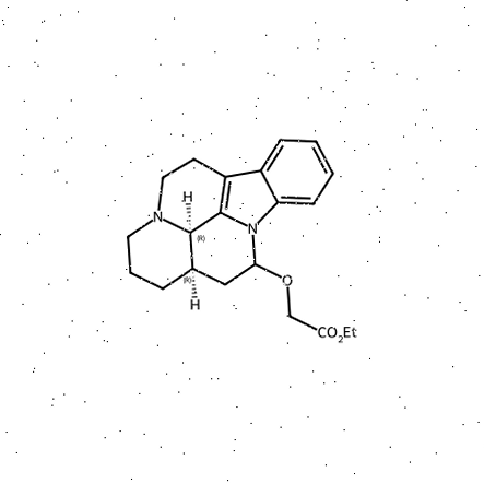 CCOC(=O)COC1C[C@H]2CCCN3CCc4c(n1c1ccccc41)[C@@H]23